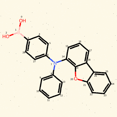 OB(O)c1ccc(N(c2ccccc2)c2cccc3c2oc2ccccc23)cc1